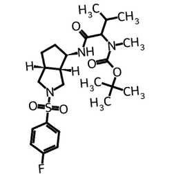 CC(C)C(C(=O)N[C@@H]1CC[C@H]2CN(S(=O)(=O)c3ccc(F)cc3)C[C@H]21)N(C)C(=O)OC(C)(C)C